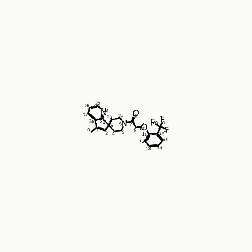 CC1=CC2(CCN(C(=O)COc3ccccc3C(F)(F)F)CC2)c2ncccc21